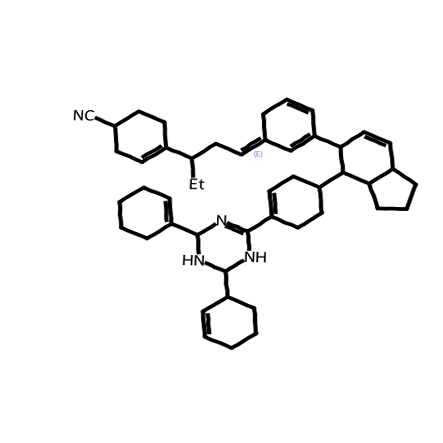 CCC(C/C=C1/C=C(C2C=CC3CCCC3C2C2CC=C(C3=NC(C4=CCCCC4)NC(C4C=CCCC4)N3)CC2)C=CC1)C1=CCC(C#N)CC1